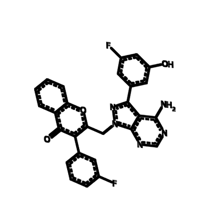 Nc1ncnc2c1c(-c1cc(O)cc(F)c1)nn2Cc1oc2ccccc2c(=O)c1-c1cccc(F)c1